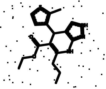 CCCC1=C(C(=O)OCC)C(c2ccsc2C)c2c[nH]nc2N1